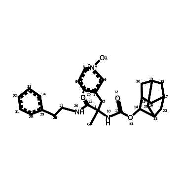 CC(Cc1ccc[n+]([O-])c1)(NC(=O)OC1C2CC3CC(C2)CC1C3)C(=O)NCCc1ccccc1